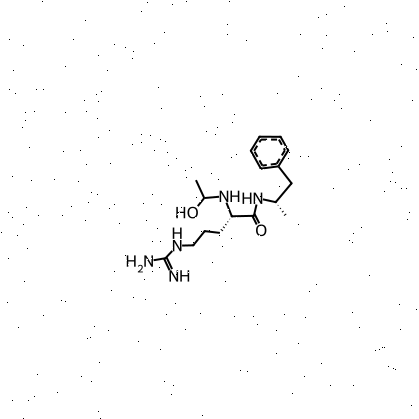 CC(O)N[C@@H](CCCNC(=N)N)C(=O)N[C@@H](C)Cc1ccccc1